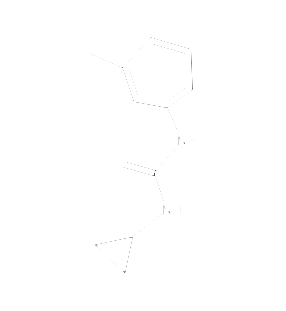 Cc1cccc(NC(=S)NC2CC2)c1